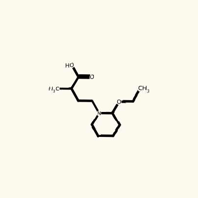 CCOC1CCCCN1CCC(C)C(=O)O